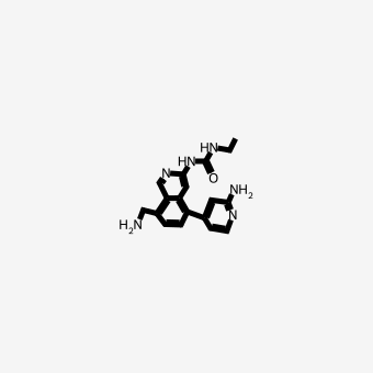 CCNC(=O)Nc1cc2c(-c3ccnc(N)c3)ccc(CN)c2cn1